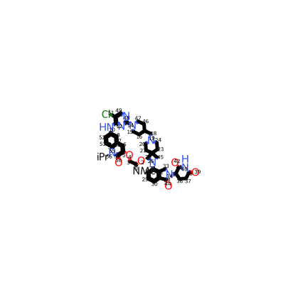 CNC(=O)COc1cc2cc(Nc3nc(N4CCC(CN5CCC6(CC5)CN(c5cccc7c5CN(C5CCC(=O)NC5=O)C7=O)C6)CC4)ncc3Cl)ccc2n(C(C)C)c1=O